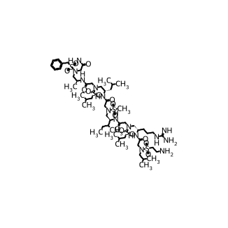 CCC(C)[C@@H](CN(CC(=O)N[C@@H](CC(C)C)CN(CC(=O)N[C@@H](C)CN(CC(N)=O)S(=O)(=O)Cc1ccccc1)S(=O)(=O)CC(C)C)S(C)(=O)=O)NC(=O)CN(C[C@H](CCCNC(=N)N)NC(=O)CN(CC(C)C)S(=O)(=O)CCN)S(=O)(=O)CC(C)C